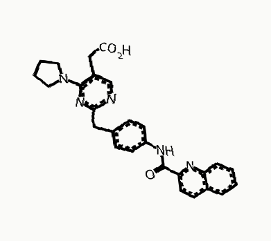 O=C(O)Cc1cnc(Cc2ccc(NC(=O)c3ccc4ccccc4n3)cc2)nc1N1CCCC1